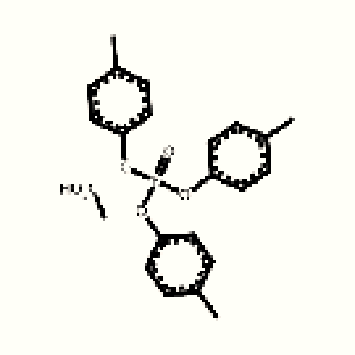 CC(=O)O.Cc1ccc(OP(=O)(Oc2ccc(C)cc2)Oc2ccc(C)cc2)cc1